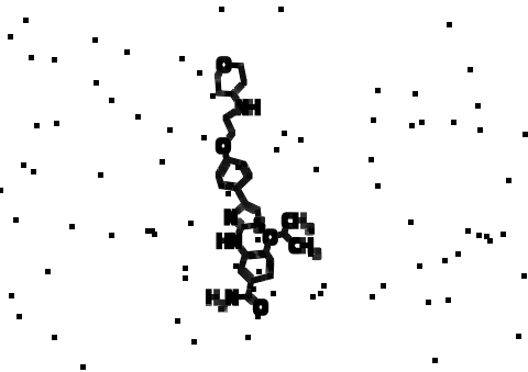 CC(C)Oc1ccc(C(N)=O)cc1Nc1nc(-c2ccc(OCCNC3CCOCC3)cc2)cs1